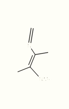 C=N/C(C)=C(\C)NC